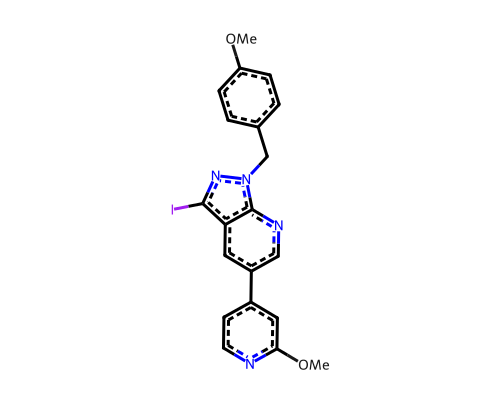 COc1ccc(Cn2nc(I)c3cc(-c4ccnc(OC)c4)cnc32)cc1